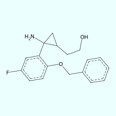 NC1(c2cc(F)ccc2OCc2ccccc2)CC1CCO